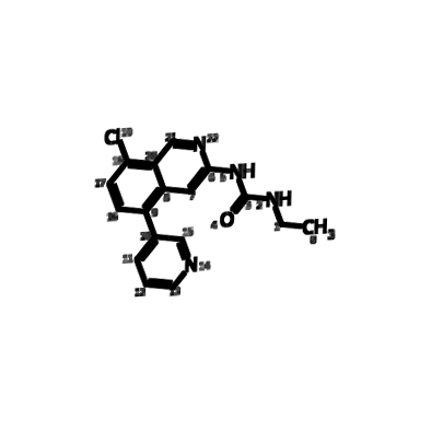 CCNC(=O)Nc1cc2c(-c3cccnc3)ccc(Cl)c2cn1